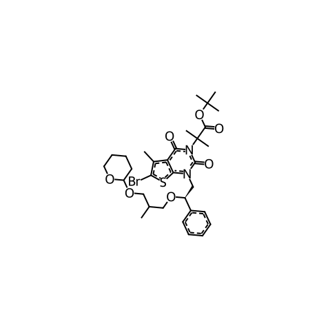 Cc1c(Br)sc2c1c(=O)n(C(C)(C)C(=O)OC(C)(C)C)c(=O)n2C[C@H](OCC(C)COC1CCCCO1)c1ccccc1